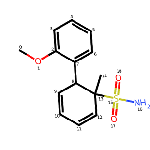 COc1ccccc1C1C=CC=CC1(C)S(N)(=O)=O